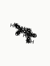 O=C(Oc1ccc(-c2cc(Nc3ccc4[nH]ncc4c3)nc(N3CCOCC3)n2)cc1)c1c(Nc2ccc3[nH]ncc3c2)nc(N2CCOCC2)nc1-c1cccc(O)c1